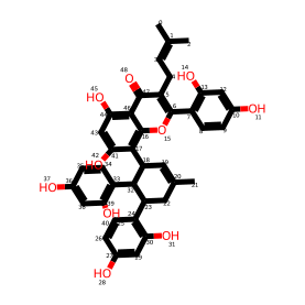 CC(C)=CCc1c(-c2ccc(O)cc2O)oc2c(C3C=C(C)CC(c4ccc(O)cc4O)C3c3ccc(O)cc3O)c(O)cc(O)c2c1=O